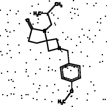 COc1ccc(CN2CC3(CCC(=O)N3CC(C)C)C2)cc1